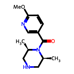 COc1ccc(C(=O)N2[C@H](C)CNC[C@@H]2C)cn1